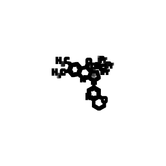 Cc1cc2c(cc1C)C(=O)[C@]1(O[Si](C(C)C)(C(C)C)C(C)C)CCN(c3cnc4c(c3)OCCC4)C1=N2